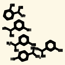 CC(O)c1ccc(O)cc1.CC(O)c1cccc(O)c1.CCC(O)c1cccc(O)c1.CCCC(O)c1cccc(O)c1.CCCC(O)c1ccccc1O